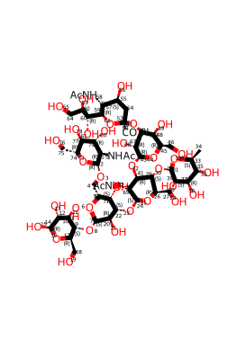 CC(=O)N[C@H]1[C@H](OC[C@H]2O[C@@H](O[C@H]3[C@H](O)[C@@H](O)[C@H](O)O[C@@H]3CO)[C@H](O)[C@@H](O[C@@H]3O[C@H](CO)[C@@H](O[C@@H]4O[C@@H](C)[C@@H](O)[C@@H](O)[C@@H]4O)[C@H](O[C@@H]4O[C@H](CO)[C@H](O)[C@H](O[C@]5(C(=O)O)C[C@H](O)[C@@H](NC(C)=O)[C@H]([C@H](O)[C@H](O)CO)O5)[C@H]4O)[C@H]3NC(C)=O)[C@H]2O)O[C@H](CO)[C@@H](O)[C@@H]1O